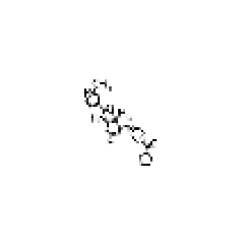 Cc1cc(C(=O)Nc2cc(F)cc(CN3CCN(C(=O)C4CCCC4)CC3)c2C)ccn1